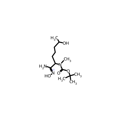 CC(O)CCCC(/C(N)=N/O)N(C)C(=O)OC(C)(C)C